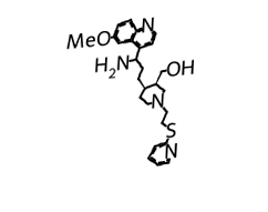 COc1ccc2nccc(C(N)CC[C@@H]3CCN(CCSc4ccccn4)C[C@@H]3CO)c2c1